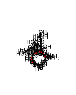 CC(C)C[C@@H]1NC(=O)[C@H](Cc2ccccc2)NC(=O)c2cnc(cn2)CSSC[C@@H](C)NC(=O)[C@@H](NC(=O)[C@H](CCC(=O)O)NC(=O)[C@H](CCC(=O)NC[C@H](O)[C@@H](O)[C@H](O)[C@H](O)CO)NC(=O)[C@H](CCC(=O)O)NC(=O)[C@H](CCC(=O)NC[C@H](O)[C@@H](O)[C@H](O)[C@H](O)CO)NC(=O)CC[C@@H](C)NC(=O)c2ccc(NCc3cnc4nc(N)[nH]c(=O)c4n3)cc2)CCC(=O)NC[C@H](O)[C@@H](O)[C@H](O)[C@H]2COB1O2